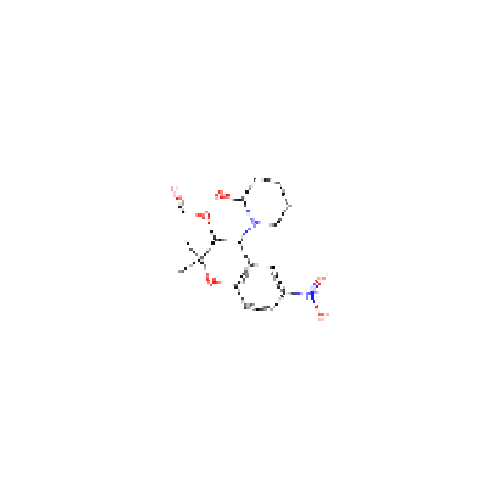 CC1(C)Oc2ccc([N+](=O)[O-])cc2C(N2CCCCC2=O)C1OC=O